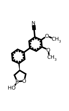 COc1cc(-c2cccc([C@H]3COB(O)C3)c2)cc(C#N)c1OC